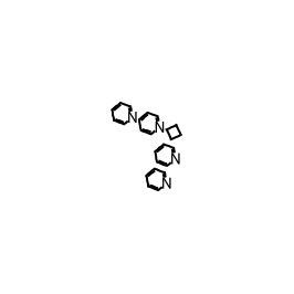 C1CCC1.c1ccncc1.c1ccncc1.c1ccncc1.c1ccncc1